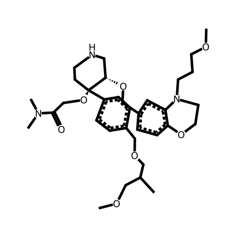 COCCCN1CCOc2ccc(CO[C@H]3CNCC[C@]3(OCC(=O)N(C)C)c3ccc(COCC(C)COC)cc3)cc21